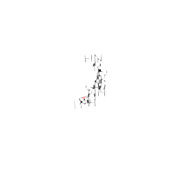 CNC1CCN(C(=O)Cc2cn3c(C(=O)NC[C@@H]4CC[C@@H]5C[C@@H]4C5(C)C)cccc3n2)C1